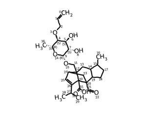 C=CCO[C@H]1[C@@H](O)[C@H](O)[C@H](OCC23CC4C(C)CCC4C4(C=O)CC2C=C(C(C)C)C43C(=O)O)O[C@@H]1C